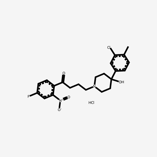 Cc1ccc(C2(O)CCN(CCCC(=O)c3ccc(F)cc3[N+](=O)[O-])CC2)cc1Cl.Cl